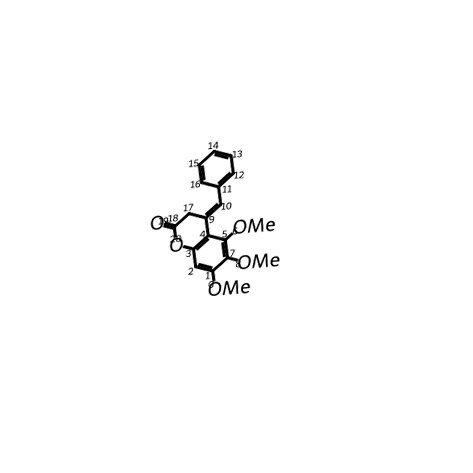 COc1cc2c(c(OC)c1OC)/C(=C/c1ccccc1)CC(=O)O2